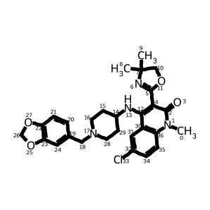 Cn1c(=O)c(C2=NC(C)(C)CO2)c(NC2CCN(Cc3ccc4c(c3)OCO4)CC2)c2cc(Cl)ccc21